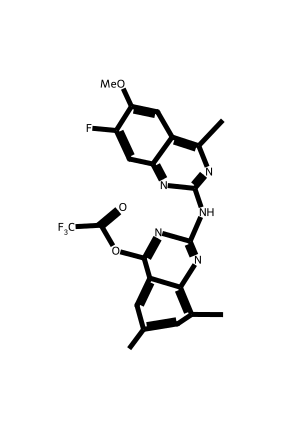 COc1cc2c(C)nc(Nc3nc(OC(=O)C(F)(F)F)c4cc(C)cc(C)c4n3)nc2cc1F